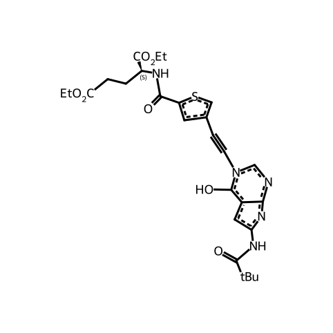 CCOC(=O)CC[C@H](NC(=O)c1cc(C#Cn2cnc3nc(NC(=O)C(C)(C)C)cc-3c2O)cs1)C(=O)OCC